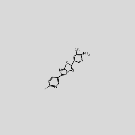 Nc1ncc(-c2nn3cc(-c4ccc(F)nc4)nc3s2)cc1C(F)(F)F